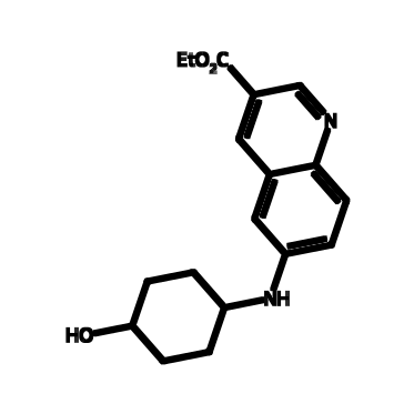 CCOC(=O)c1cnc2ccc(NC3CCC(O)CC3)cc2c1